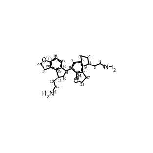 NCC[C@@H]1CCc2cc(C3C[C@@H](CCN)c4c3ccc3c4CCO3)c3c(c21)CCO3